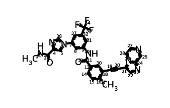 CNC(=O)c1cn(-c2cc(NC(=O)c3ccc(C)c(C#Cc4cnc5cnccn45)c3)cc(C(F)(F)F)c2)cn1